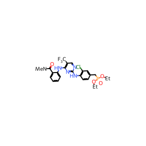 CCOP(=O)(Cc1ccc(Nc2ncc(C(F)(F)F)c(Nc3ccccc3C(=O)NC)n2)c(Cl)c1)OCC